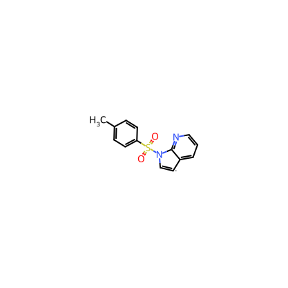 Cc1ccc(S(=O)(=O)n2c[c]c3cccnc32)cc1